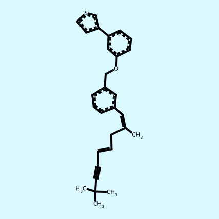 CC(=Cc1cccc(COc2cccc(-c3ccsc3)c2)c1)CC=CC#CC(C)(C)C